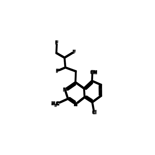 Cc1nc(CC(F)C(F)CF)c2c(O)ccc(Cl)c2n1